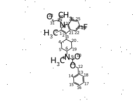 Cc1c(C2CCC(N(C)C(=O)OCc3ccccc3)CC2)c2cc(F)ccc2n1C(C)C=O